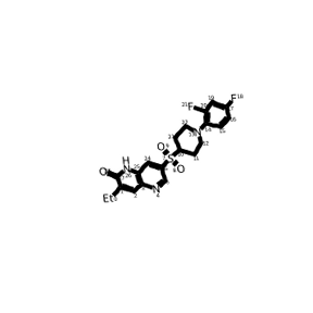 CCc1cc2ncc(S(=O)(=O)C3CCN(c4ccc(F)cc4F)CC3)cc2[nH]c1=O